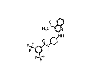 CN(C)c1cc(NC2CCC(NC(=O)c3cc(C(F)(F)F)cc(C(F)(F)F)c3)CC2)nc2ccccc12